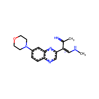 CN/C=C(\C(C)=N)c1cnc2ccc(N3CCOCC3)cc2n1